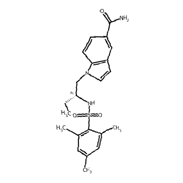 CC[C@H](Cn1ccc2cc(C(N)=O)ccc21)NS(=O)(=O)c1c(C)cc(C)cc1C